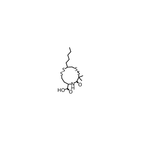 CCCCCC1CSSC(C)(C)C(=O)NC(C(=O)O)CCSS1